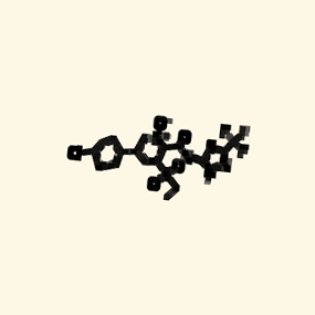 CCS(=O)(=O)c1cc(-c2ccc(Cl)cc2)c[n+]([O-])c1C(=O)N=c1sc(C(F)(F)F)nn1C